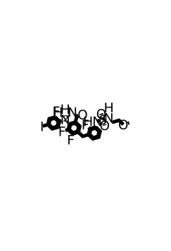 COCCNS(=O)(=O)Nc1cccc(Cc2cc(C(N)=O)c(Nc3ccc(I)cc3F)c(F)c2F)c1F